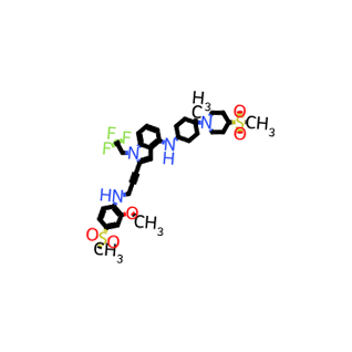 COc1cc(S(C)(=O)=O)ccc1NCC#Cc1cc2c(NC3CCC(C)(N4CCC(S(C)(=O)=O)CC4)CC3)cccc2n1CC(F)(F)F